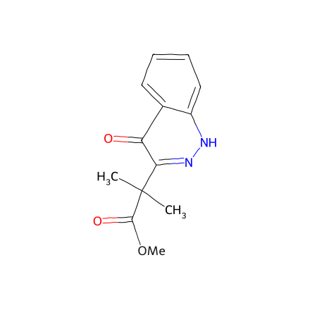 COC(=O)C(C)(C)c1n[nH]c2ccccc2c1=O